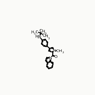 Cn1cc(-c2ccc(NC(C)(C)C)cc2)cc1C(=O)n1ccc2ccccc21